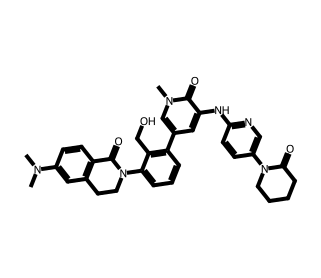 CN(C)c1ccc2c(c1)CCN(c1cccc(-c3cc(Nc4ccc(N5CCCCC5=O)cn4)c(=O)n(C)c3)c1CO)C2=O